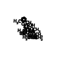 Cc1cccc(C)c1OC1=NC(O)N([C@@H]2O[C@](C)(CO[Si](C)(C)C(C)(C)C)C(O[Si](C)(C)C(C)(C)C)C2O[Si](C)(C)C(C)(C)C)C=C1